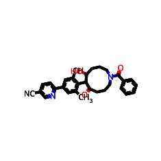 Cc1cc(-c2ccc(C#N)cn2)cc(C)c1C1C(=O)CCCN(C(=O)c2ccccc2)CCCC1O